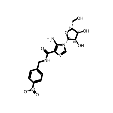 Nc1c(C(=O)NCc2ccc([N+](=O)[O-])cc2)ncn1[C@@H]1O[C@H](CO)[C@@H](O)[C@H]1O